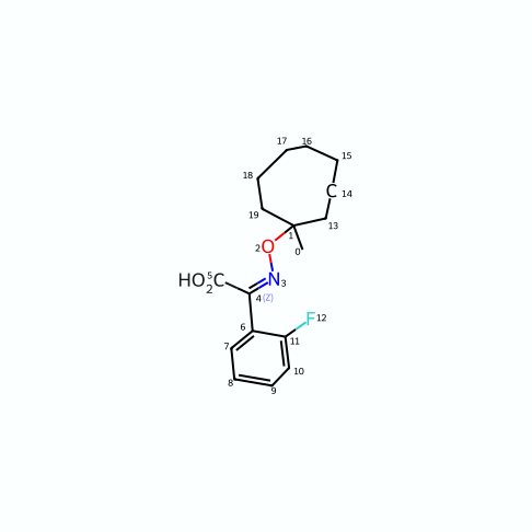 CC1(O/N=C(\C(=O)O)c2ccccc2F)CCCCCCC1